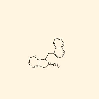 CN1Cc2ccccc2C1Cc1cccc2ccccc12